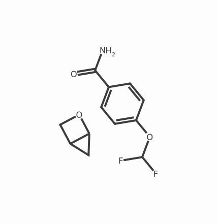 C1OC2CC12.NC(=O)c1ccc(OC(F)F)cc1